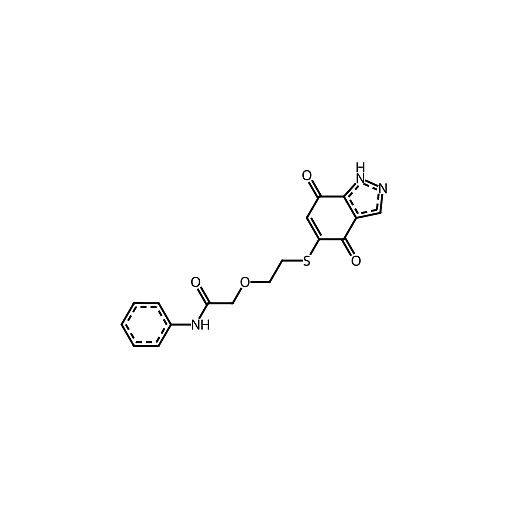 O=C(COCCSC1=CC(=O)c2[nH]ncc2C1=O)Nc1ccccc1